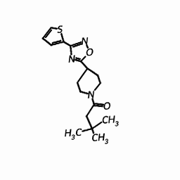 CC(C)(C)CC(=O)N1CCC(c2nc(-c3cccs3)no2)CC1